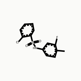 Cc1ccc(NS(=O)(=O)c2ccccc2Cl)cc1F